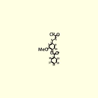 COc1cc(CCC(=O)Cl)ccc1OC(=O)c1ccccc1